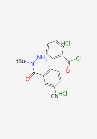 CC(C)(C)N(N)C(=O)c1cccc(C#N)c1.Cl.Cl.O=C(Cl)c1ccccc1